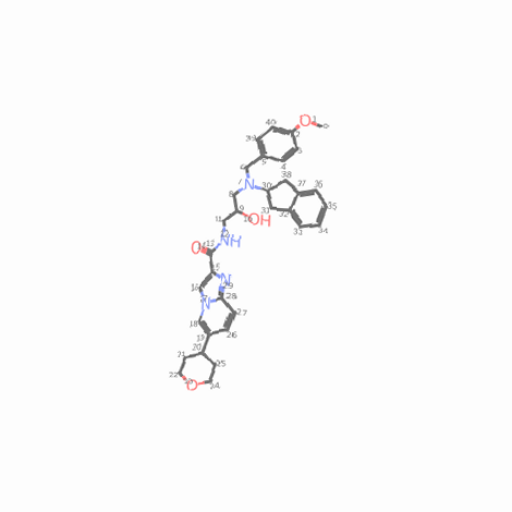 COc1ccc(CN(CC(O)CNC(=O)c2cn3cc(C4CCOCC4)ccc3n2)C2Cc3ccccc3C2)cc1